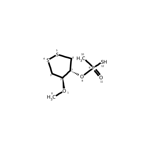 CO[C@H]1CSSC[C@@H]1OP(C)(=O)S